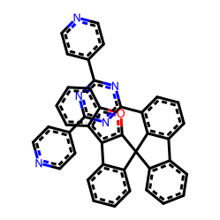 c1ccc2c(c1)-c1cccc(-c3nc(-c4ccncc4)nc(-c4ccncc4)n3)c1C21c2ccccc2-c2c1oc1ccccc21